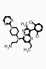 CCc1cc(N(CCN)C2CCN(c3ncccn3)CC2)n2nc(C)c(-c3c(Cl)cccc3Cl)c2n1